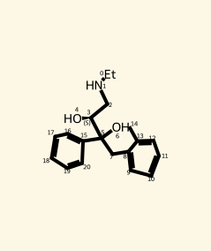 CCNC[C@H](O)C(O)(Cc1ccccc1C)c1ccccc1